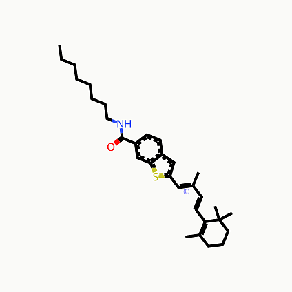 CCCCCCCCNC(=O)c1ccc2cc(/C=C(\C)C=CC3=C(C)CCCC3(C)C)sc2c1